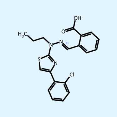 CCCN(/N=C/c1ccccc1C(=O)O)c1nc(-c2ccccc2Cl)cs1